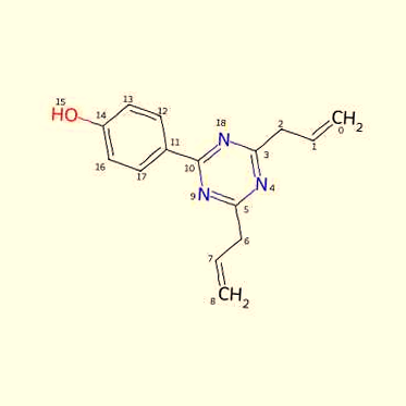 C=CCc1nc(CC=C)nc(-c2ccc(O)cc2)n1